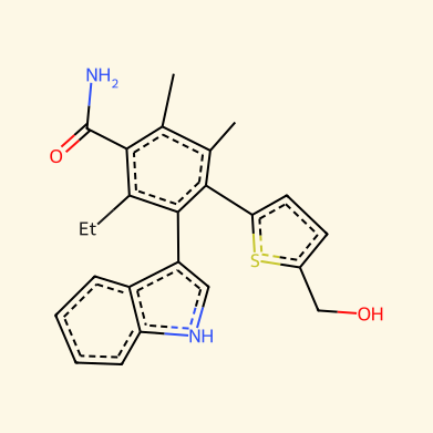 CCc1c(C(N)=O)c(C)c(C)c(-c2ccc(CO)s2)c1-c1c[nH]c2ccccc12